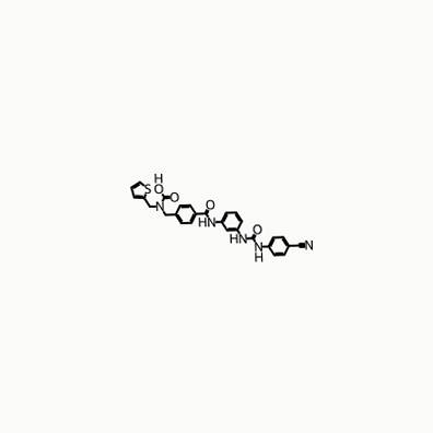 N#Cc1ccc(NC(=O)Nc2cccc(NC(=O)c3ccc(CN(Cc4cccs4)C(=O)O)cc3)c2)cc1